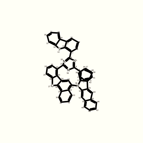 c1ccc(-c2nc(-c3cccc4c3sc3ccccc34)nc(-c3cccc4oc5c6ccccc6c(-n6c7ccccc7c7cc8ccccc8cc76)cc5c34)n2)cc1